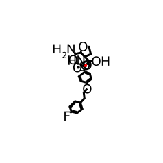 NC(=O)C1OCCC1(NS(=O)(=O)c1ccc(OCCc2ccc(F)cc2)cc1)C(=O)O